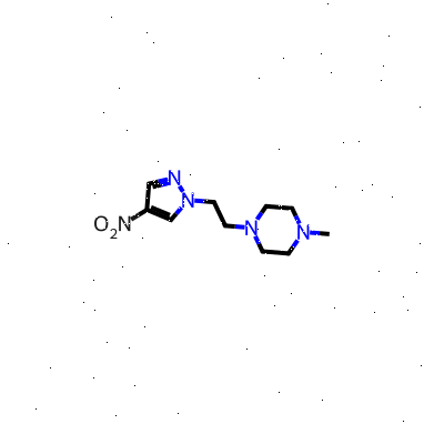 CN1CCN(CCn2cc([N+](=O)[O-])cn2)CC1